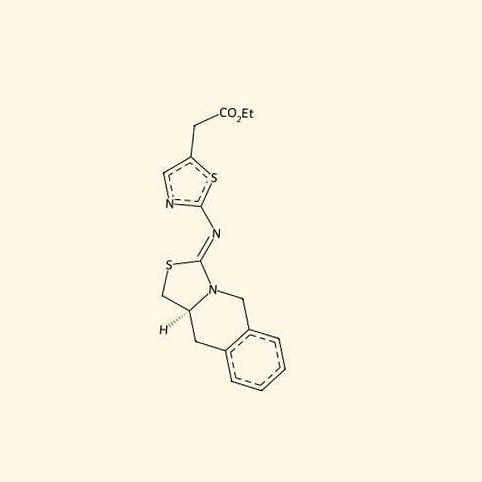 CCOC(=O)Cc1cnc(N=C2SC[C@@H]3Cc4ccccc4CN23)s1